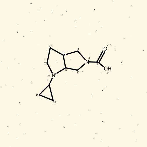 O=C(O)N1CC2CCN(C3CC3)C2C1